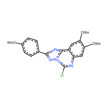 COc1ccc(-c2nc3c4cc(OC)c(OC)cc4nc(Cl)n3n2)cc1